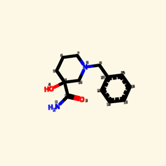 NC(=O)C1(O)CCCN(Cc2ccccc2)C1